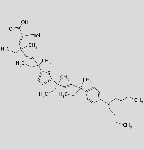 CCCCN(CCCC)c1ccc(C(C)(/C=C/C(C)(CC)c2ccc(C(C)(/C=C/C(C)(/C=C(\C#N)C(=O)O)CC)CC)s2)CC)cc1